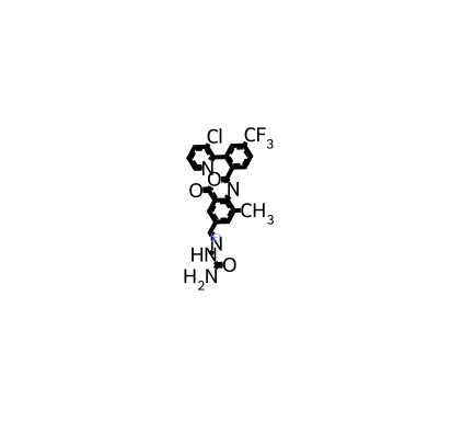 Cc1cc(/C=N/NC(N)=O)cc2c(=O)oc(-c3ccc(C(F)(F)F)cc3-c3ncccc3Cl)nc12